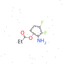 CCC(=O)Oc1ccc(F)c(F)c1N